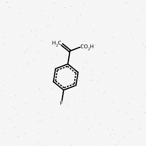 C=C(C(=O)O)c1ccc(F)cc1